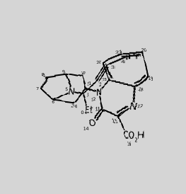 CCC(C#CC(C)C)N1C2CCC1CC(n1c(=O)c(C(=O)O)nc3ccccc31)C2